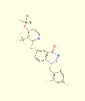 [2H]C([2H])([2H])Oc1ccnc(Oc2ccc3c(c2)c(=O)ncn3Cc2c(F)cc(F)cc2F)c1C(F)(F)F